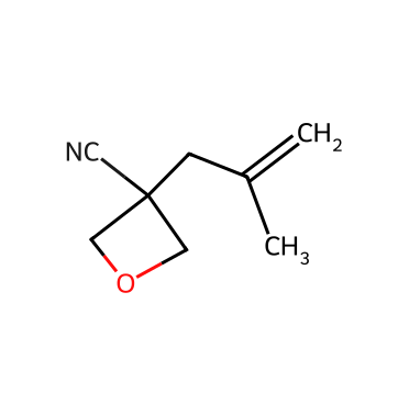 C=C(C)CC1(C#N)COC1